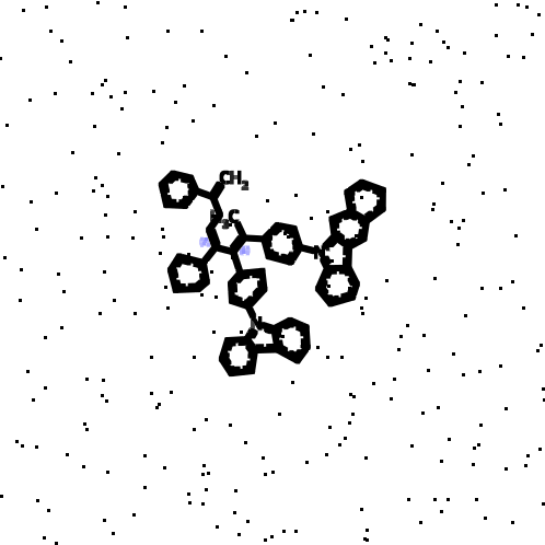 C=C(C/C=C(\C(=C(/C)c1ccc(-n2c3ccccc3c3cc4ccccc4cc32)cc1)c1ccc(-n2c3ccccc3c3ccccc32)cc1)c1ccccc1)c1ccccc1